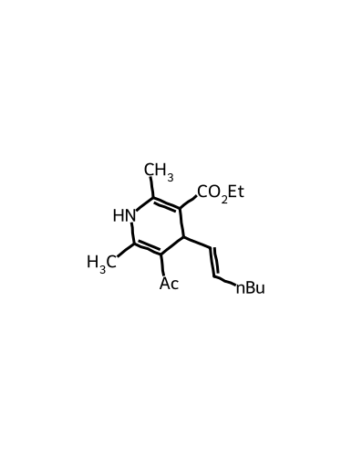 CCCC/C=C/C1C(C(C)=O)=C(C)NC(C)=C1C(=O)OCC